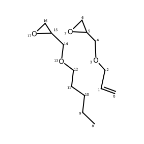 C=CCOCC1CO1.CCCCCOCC1CO1